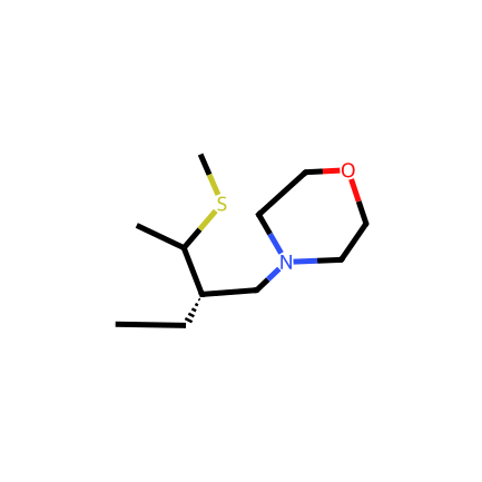 CC[C@@H](CN1CCOCC1)C(C)SC